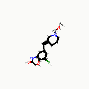 COBN1CCCC(=Cc2cc(F)c3c(c2)NC(=O)CO3)C1